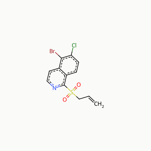 C=CCS(=O)(=O)c1nccc2c(Br)c(Cl)ccc12